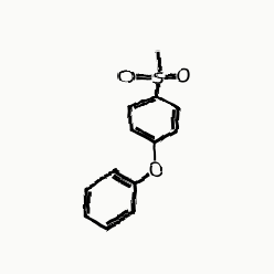 CS(=O)(=O)c1ccc(Oc2ccccc2)cc1